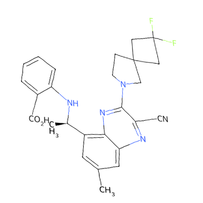 Cc1cc([C@@H](C)Nc2ccccc2C(=O)O)c2nc(N3CCC4(C3)CC(F)(F)C4)c(C#N)nc2c1